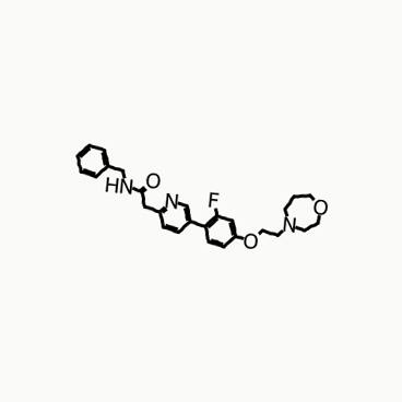 O=C(Cc1ccc(-c2ccc(OCCN3CCCOCC3)cc2F)cn1)NCc1ccccc1